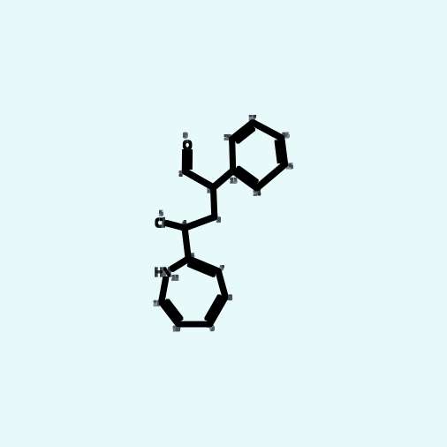 O=CC(CC(Cl)C1=CC=CC=CN1)c1ccccc1